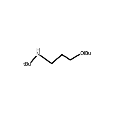 CC(C)COCCCNC(C)(C)C